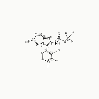 Cc1c(F)ccc(-c2c(NC(=O)CC(C)(C)C)nc3ccc(F)cn23)c1F